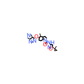 Cc1c(Oc2ncnc3c2CN(C)C3)ccc2c1ccn2C(=O)Nc1cc(C2(C)CC2)on1